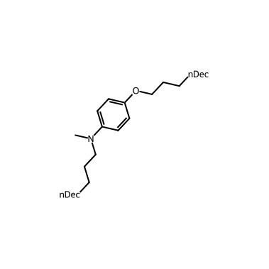 CCCCCCCCCCCCCOc1ccc(N(C)CCCCCCCCCCCCC)cc1